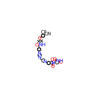 CC1(C)C(NC(=O)c2ccc(N3CCN(CC4CCN(c5ccc6c(c5)C(=O)N(C5CCC(=O)NC5=O)C6=O)CC4)CC3)cc2)C(C)(C)C1Oc1ccc(C#N)c(C(F)(F)F)c1